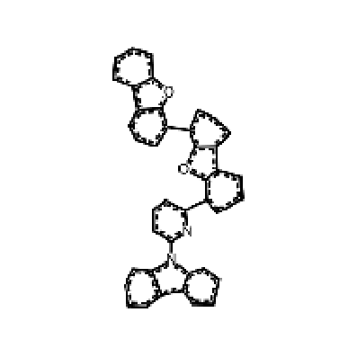 c1cc(-c2cccc3c2oc2c(-c4cccc5c4oc4ccccc45)cccc23)nc(-n2c3ccccc3c3ccccc32)c1